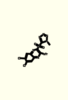 CCCc1nc2cc(Cl)c(Cl)cc2nc1S(=O)(=O)c1nnnn1C